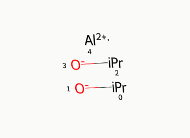 CC(C)[O-].CC(C)[O-].[Al+2]